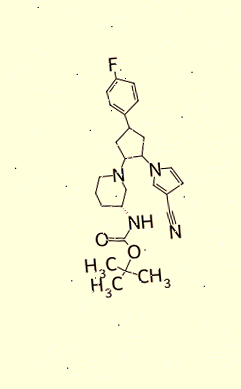 CC(C)(C)OC(=O)N[C@@H]1CCCN(C2CC(c3ccc(F)cc3)CC2n2ccc(C#N)c2)C1